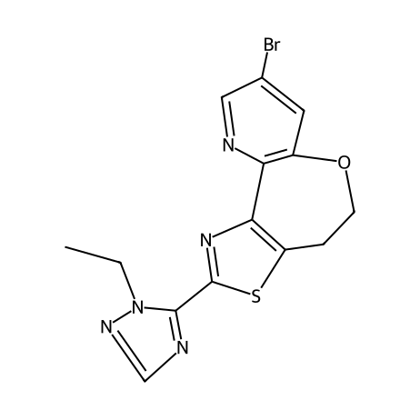 CCn1ncnc1-c1nc2c(s1)CCOc1cc(Br)cnc1-2